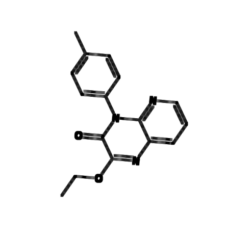 CCOc1nc2cccnc2n(-c2ccc(C)cc2)c1=O